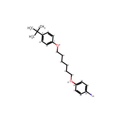 CC(C)(C)c1ccc(OCCCCCCOc2ccc(I)cc2)cc1